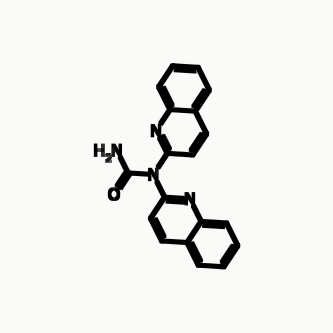 NC(=O)N(c1ccc2ccccc2n1)c1ccc2ccccc2n1